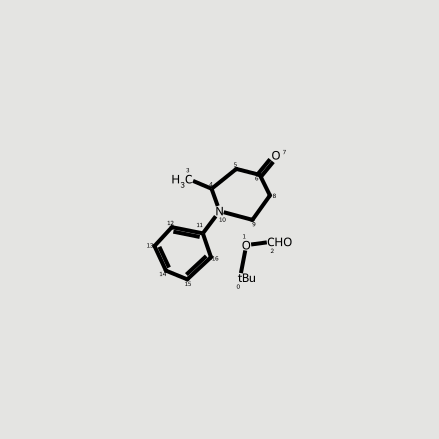 CC(C)(C)OC=O.CC1CC(=O)CCN1c1ccccc1